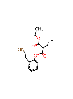 CCOC(=O)C(CC)C(=O)Oc1ccccc1CCBr